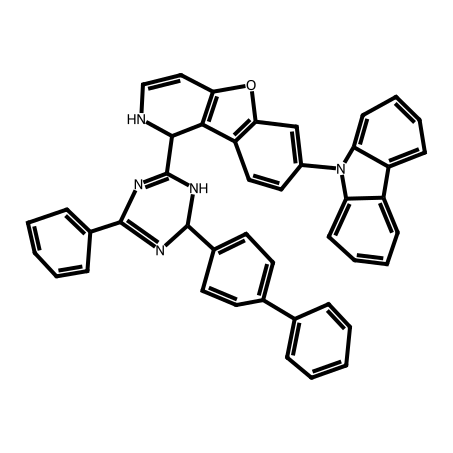 C1=Cc2oc3cc(-n4c5ccccc5c5ccccc54)ccc3c2C(C2=NC(c3ccccc3)=NC(c3ccc(-c4ccccc4)cc3)N2)N1